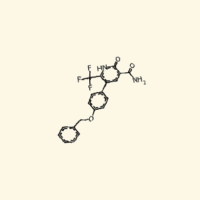 NC(=O)c1cc(-c2ccc(OCc3ccccc3)cc2)c(C(F)(F)F)[nH]c1=O